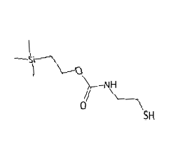 C[Si](C)(C)CCOC(=O)NCCS